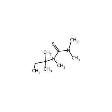 CCC(C)(C)N(C)C(=S)N(C)C